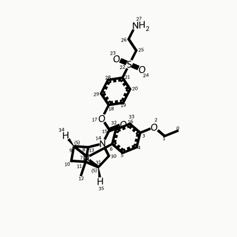 CCOc1ccc(N2C[C@@H]3CC4(C)C3N(C(=O)Oc3ccc(S(=O)(=O)CCN)cc3)C[C@@H]24)cc1